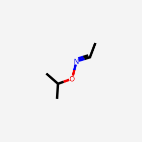 C/C=N/OC(C)C